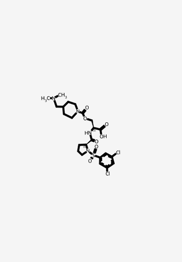 CN(C)CC1CCN(C(=O)OC[C@H](NC(=O)[C@@H]2CCCN2S(=O)(=O)c2cc(Cl)cc(Cl)c2)C(=O)O)CC1